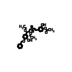 CCOC(CS(=O)(=O)/C=C/c1ccc(OC(C)=O)c(O)c1)C(OCC)c1ccc(OCc2ccccc2)c(O)c1